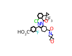 O=C(O)c1ccc(-c2nn(C(=O)c3c(Cl)cccc3C3(C(F)(F)F)CC3)c3c2CCC(C(=O)N2CC4(COC4)C2)C3)c(F)c1